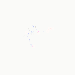 COc1nc(-c2ccnc(-c3cccc(NC(=O)c4nc5c(n4C)CCN(C4CCN(C(C)=O)CC4)C5)c3Cl)c2Cl)ccc1CN1CC(CC(=O)O)C1